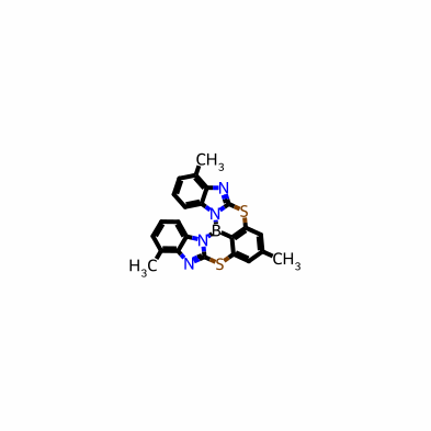 Cc1cc2c3c(c1)Sc1nc4c(C)cccc4n1B3n1c(nc3c(C)cccc31)S2